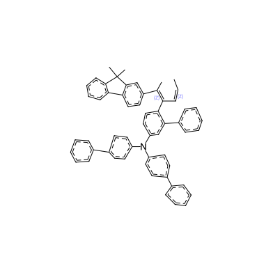 C/C=C\C(=C(/C)c1ccc2c(c1)C(C)(C)c1ccccc1-2)c1ccc(N(c2ccc(-c3ccccc3)cc2)c2ccc(-c3ccccc3)cc2)cc1-c1ccccc1